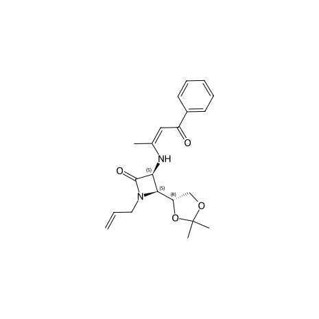 C=CCN1C(=O)[C@@H](NC(C)=CC(=O)c2ccccc2)[C@H]1[C@@H]1COC(C)(C)O1